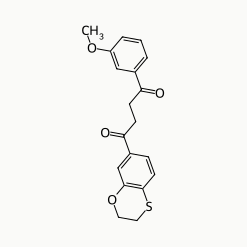 COc1cccc(C(=O)CCC(=O)c2ccc3c(c2)OCCS3)c1